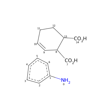 Nc1ccccc1.O=C(O)C1C=CCCC1C(=O)O